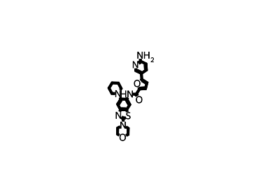 Nc1ccc(-c2ccc(C(=O)Nc3cc4sc(N5CCOCC5)nc4cc3N3CCCCC3)o2)cn1